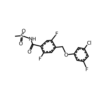 CS(=O)(=O)NC(=O)c1cc(F)c(COc2cc(F)cc(Cl)c2)cc1F